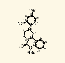 CC(C)(C)OC(=O)N1CCN(c2ncc(Br)cc2C#N)CC1c1ccccc1